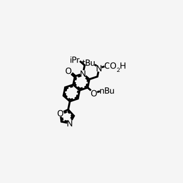 CCCCOc1c(CN(C(=O)O)C(C)(C)C)n(CC(C)C)c(=O)c2ccc(-c3cnco3)cc12